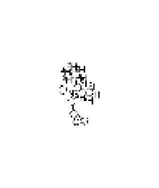 [2H]c1c([2H])c([2H])c(-c2cc(-c3c([2H])c([2H])c([2H])c([2H])c3[2H])cc(N(c3ccccc3)c3ccc(-c4ccc5oc6ccccc6c5c4)cc3)c2)c([2H])c1[2H]